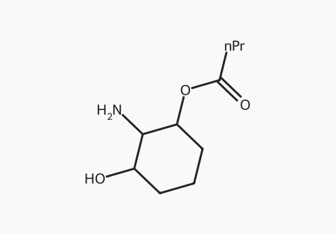 CCCC(=O)OC1CCCC(O)C1N